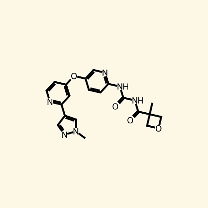 Cn1cc(-c2cc(Oc3ccc(NC(=O)NC(=O)C4(C)COC4)nc3)ccn2)cn1